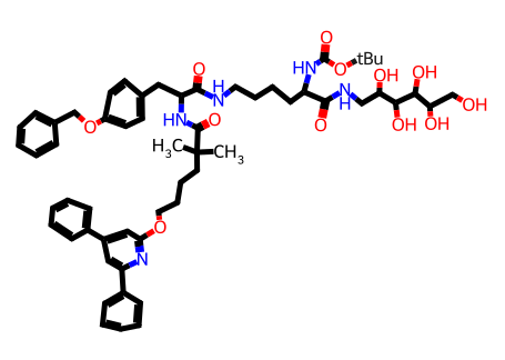 CC(C)(C)OC(=O)NC(CCCCNC(=O)C(Cc1ccc(OCc2ccccc2)cc1)NC(=O)C(C)(C)CCCCOc1cc(-c2ccccc2)cc(-c2ccccc2)n1)C(=O)NCC(O)C(O)C(O)C(O)CO